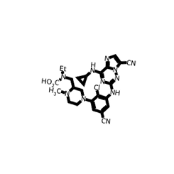 CCN(CC1CN(c2cc(C#N)cc(Nc3nc(NC4CC4)c4ncc(C#N)n4n3)c2Cl)CCN1C)C(=O)O